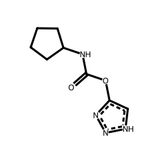 O=C(NC1CCCC1)Oc1c[nH]nn1